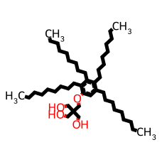 CCCCCCCCCc1cc(OCC(CO)(CO)CO)c(CCCCCCCCC)c(CCCCCCCCC)c1CCCCCCCCC